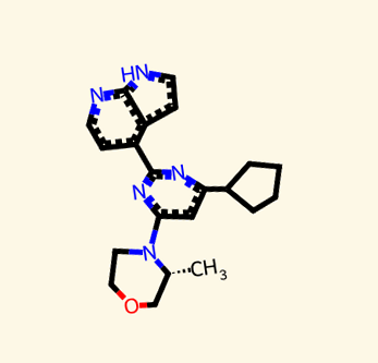 C[C@@H]1COCCN1c1cc(C2CCCC2)nc(-c2ccnc3[nH]ccc23)n1